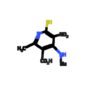 CCC(C)Nc1c(C(=O)O)c(C)nc(S)c1[N+](=O)[O-]